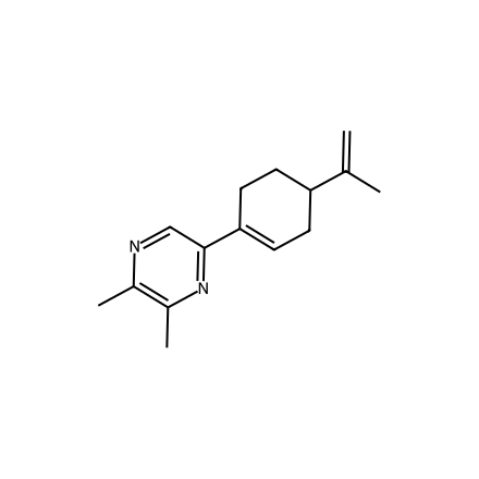 C=C(C)C1CC=C(c2cnc(C)c(C)n2)CC1